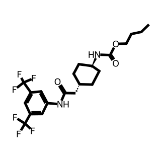 CCCCOC(=O)N[C@H]1CC[C@H](CC(=O)Nc2cc(C(F)(F)F)cc(C(F)(F)F)c2)CC1